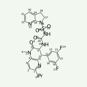 CC(C)c1ccc(N(C)C(=O)C(Cc2cc(F)cc(F)c2)NC(=O)NS(=O)(=O)N2CCc3cccnc32)cn1